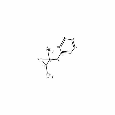 CC1OC1(N)Cc1ccccc1